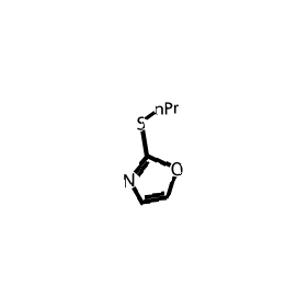 CCCSc1ncco1